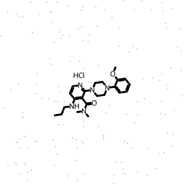 CCCNc1ccnc(N2CCN(c3ccccc3OC)CC2)c1C(=O)N(C)C.Cl